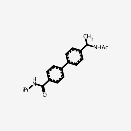 CC(=O)NC(C)c1ccc(-c2ccc(C(=O)NC(C)C)cc2)cc1